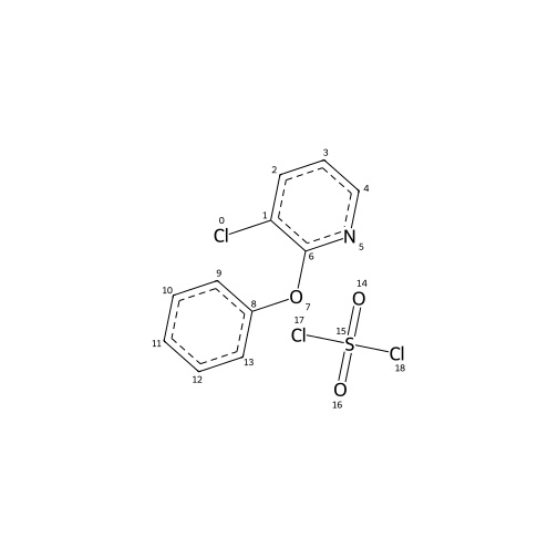 Clc1cccnc1Oc1ccccc1.O=S(=O)(Cl)Cl